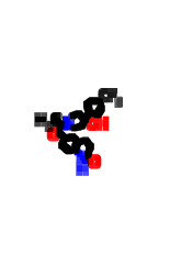 CC(C(=O)c1ccc2c(c1)CCC(=O)N2)N1CCC(O)(c2ccc(C(F)(F)F)cc2)CC1